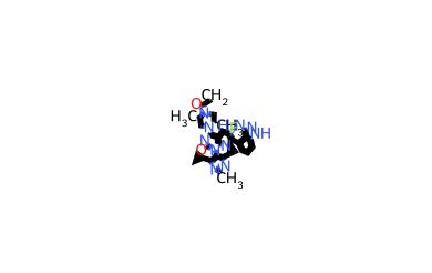 C=CC(=O)N1C[C@H](C)N(c2nc(=O)n(-c3c(C4CC4)nc(C)nc3C3CC3)c3nc(-c4cccc5[nH]nc(N)c45)c(F)cc23)C[C@H]1C